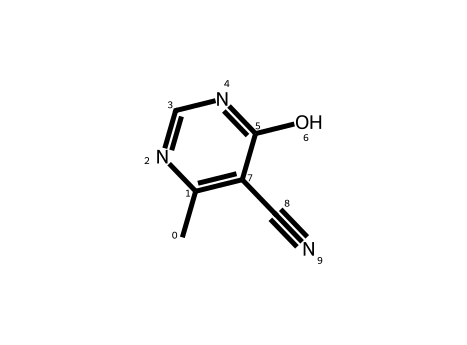 Cc1ncnc(O)c1C#N